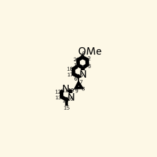 COc1ccc2nc([C@H]3C[C@@H]3c3nccc(C)n3)ccc2c1